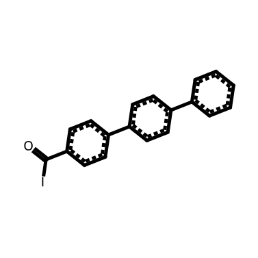 O=C(I)c1ccc(-c2ccc(-c3ccccc3)cc2)cc1